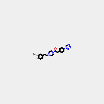 N#Cc1cc(CCN2CCN(C(=O)Cc3ccc(-n4cnnn4)cc3)CC2)ccc1F